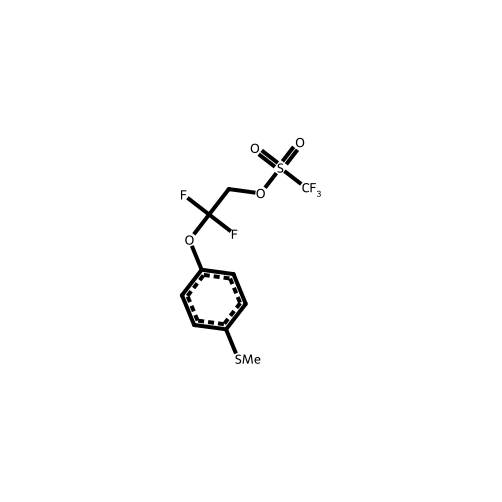 CSc1ccc(OC(F)(F)COS(=O)(=O)C(F)(F)F)cc1